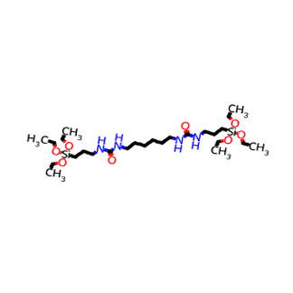 CCO[Si](CCCNC(=O)NCCCCCCNC(=O)NCCC[Si](OCC)(OCC)OCC)(OCC)OCC